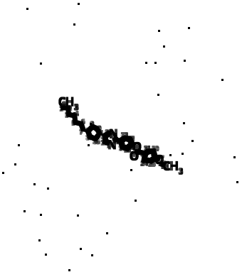 CCCCCCCC[C@H]1CC[C@H](c2cnc(-c3ccc(OC(=O)c4ccc(OCC)cc4)cc3)nc2)CC1